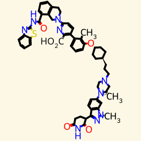 Cc1c(O[C@H]2CC[C@H](CCCN3CCN(c4ccc5c(C6CCC(=O)NC6=O)nn(C)c5c4)[C@@H](C)C3)CC2)cccc1-c1ccc(N2CCc3cccc(C(=O)Nc4nc5ccccc5s4)c3C2)nc1C(=O)O